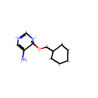 Nc1cncnc1OCC1CCCCC1